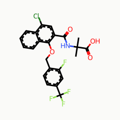 CC(C)(NC(=O)c1cc(Cl)c2ccccc2c1OCc1ccc(C(F)(F)F)cc1F)C(=O)O